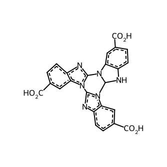 O=C(O)c1ccc2c(c1)N1c3nc4ccc(C(=O)O)cc4n3-c3nc4ccc(C(=O)O)cc4n3C1N2